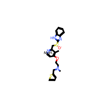 Cc1c(OCCN(C)Cc2cccs2)ccnc1C[S+]([O-])c1nc2ccccc2[nH]1.[MgH2]